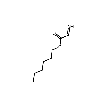 CCCCCCOC(=O)C=N